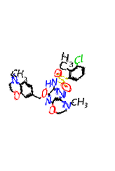 Cc1c(Cl)cccc1S(=O)(=O)Nc1nc2c(nc1OCc1ccc3c(c1)OCCN3C)OCCN2C